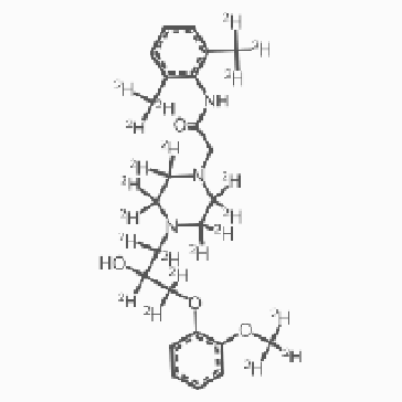 [2H]C([2H])([2H])Oc1ccccc1OC([2H])([2H])C([2H])(O)C([2H])([2H])N1C([2H])([2H])C([2H])([2H])N(CC(=O)Nc2c(C([2H])([2H])[2H])cccc2C([2H])([2H])[2H])C([2H])([2H])C1([2H])[2H]